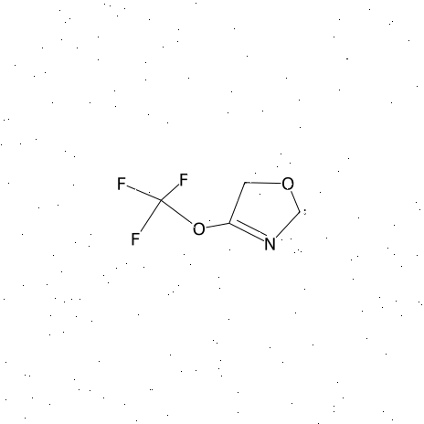 FC(F)(F)OC1=N[C]OC1